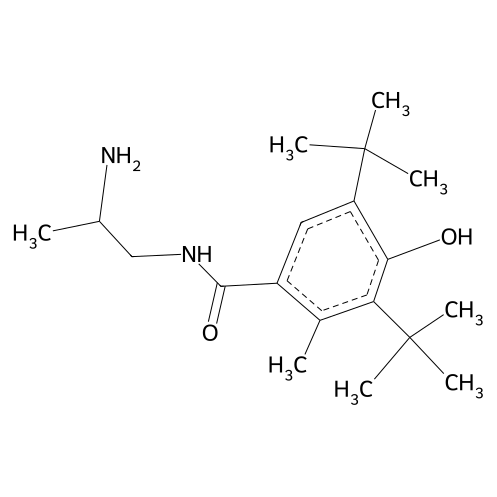 Cc1c(C(=O)NCC(C)N)cc(C(C)(C)C)c(O)c1C(C)(C)C